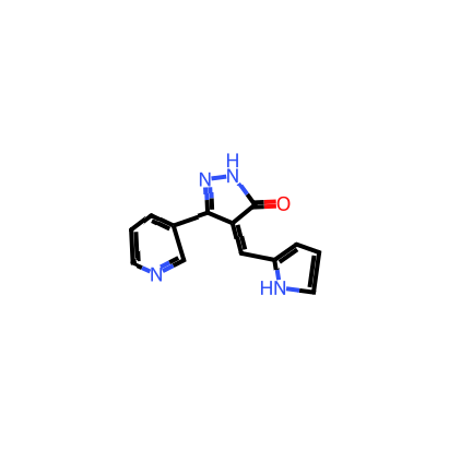 O=C1NN=C(c2cccnc2)C1=Cc1ccc[nH]1